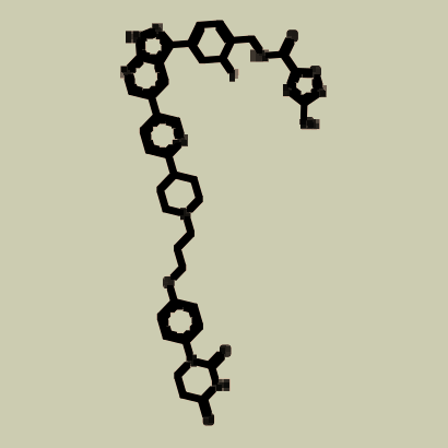 CC(C)(C)c1noc(C(=O)NCC2=CC=C(c3n[nH]c4ncc(-c5ccc(C6CCN(CCCOc7ccc(N8CCC(=O)NC8=O)cc7)CC6)nc5)cc34)CC2F)n1